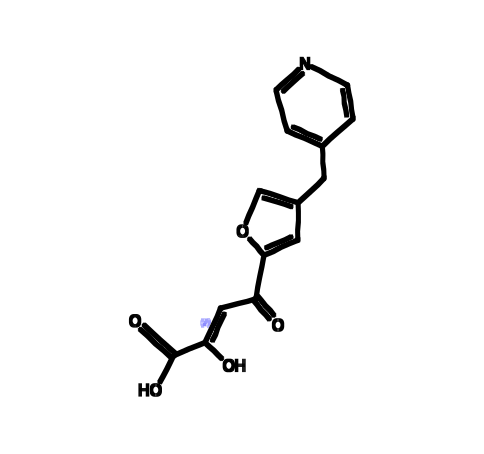 O=C(O)/C(O)=C/C(=O)c1cc(Cc2ccncc2)co1